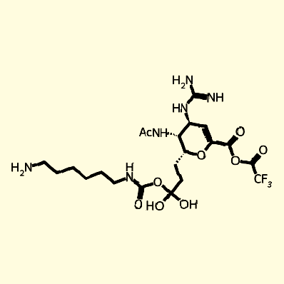 CC(=O)N[C@@H]1[C@@H](NC(=N)N)C=C(C(=O)OC(=O)C(F)(F)F)O[C@@H]1CCC(O)(O)OC(=O)NCCCCCCN